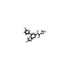 Cc1nc2cc(NC(=O)C3CNC3)nc(-c3ccc(C)o3)n2n1